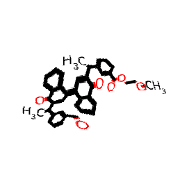 COCCOC(=O)c1cccc(C(C)C2=C/C(=C3/C=C(C(C)c4cccc(C=O)c4)C(=O)c4ccccc43)c3ccccc3C2=O)c1